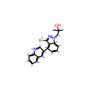 CC(C)(O)[CH]n1nc(Br)c2c(-c3cnc4ccccc4c3)cccc21